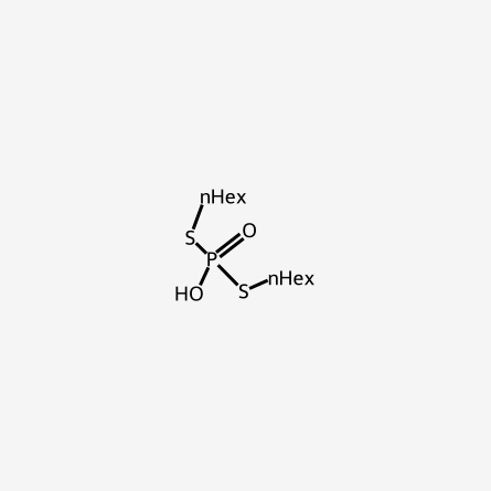 CCCCCCSP(=O)(O)SCCCCCC